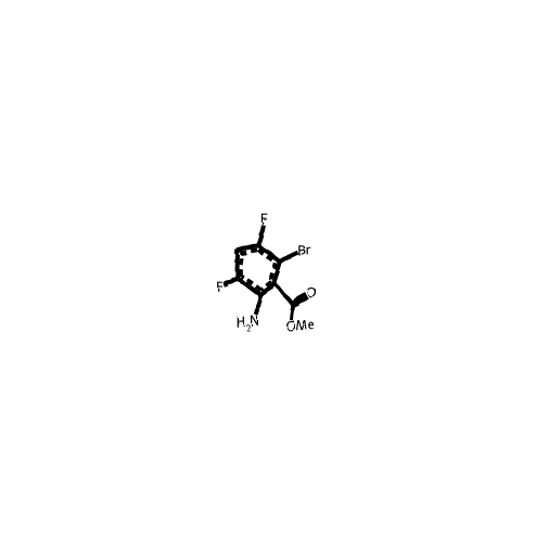 COC(=O)c1c(N)c(F)cc(F)c1Br